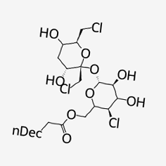 CCCCCCCCCCCC(=O)OCC1O[C@H](O[C@@]2(CCl)O[C@H](CCl)C(O)C[C@H]2O)[C@@H](O)C(O)[C@H]1Cl